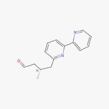 C[C@H](CC=O)Cc1cccc(-c2ccccn2)n1